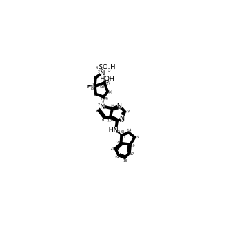 C[C@@]1(CNS(=O)(=O)O)C[C@@H](n2ccc3c(N[C@H]4CCc5ccccc54)ncnc32)C[C@@H]1O